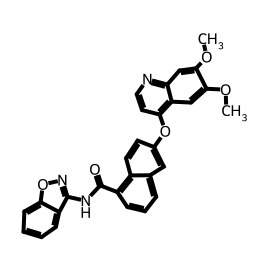 COc1cc2nccc(Oc3ccc4c(C(=O)Nc5noc6ccccc56)cccc4c3)c2cc1OC